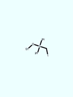 CCO[Si](CI)(C(C)C)C(C)C